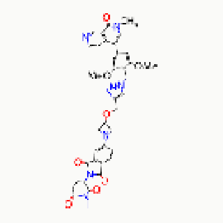 COc1cc(-c2cn(C)c(=O)c3cnccc23)cc(OC)c1Cn1cc(COC2CN(c3ccc4c(c3)C(=O)N(C3CCC(=O)NC3=O)C4=O)C2)nn1